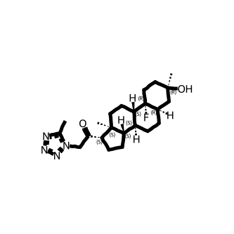 Cc1nnnn1CC(=O)[C@H]1CC[C@H]2[C@@H]3CC[C@@H]4C[C@](C)(O)CC[C@]4(F)[C@H]3CC[C@]12C